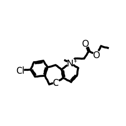 CCOC(=O)CC[N+]1(C)CC=CC2=C1Cc1ccc(Cl)cc1CC2